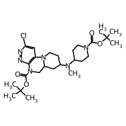 CN(C1CCN(C(=O)OC(C)(C)C)CC1)C1CCN2c3cc(Cl)nnc3N(C(=O)OC(C)(C)C)CC2C1